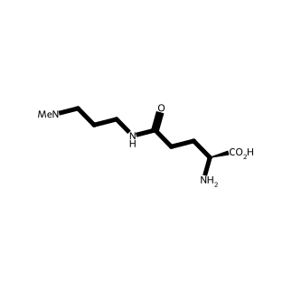 CNCCCNC(=O)CC[C@H](N)C(=O)O